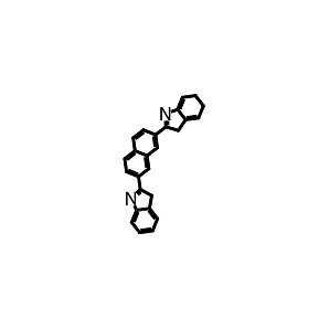 C1=C2CC(c3ccc4ccc(C5=Nc6ccccc6C5)cc4c3)=NC2=CCC1